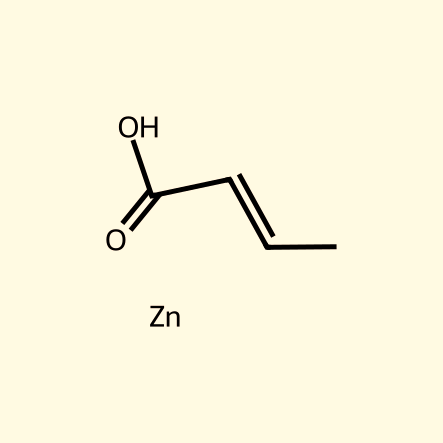 C/C=C/C(=O)O.[Zn]